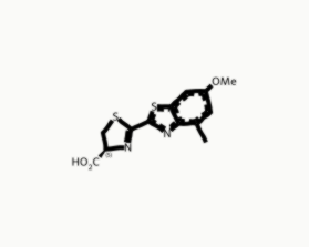 COc1cc(C)c2nc(C3=N[C@@H](C(=O)O)CS3)sc2c1